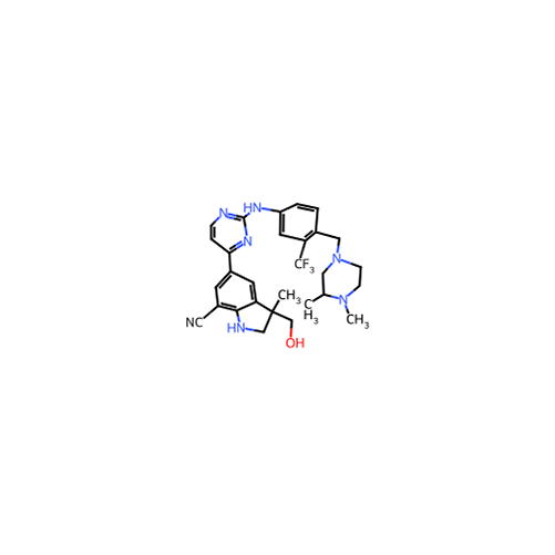 CC1CN(Cc2ccc(Nc3nccc(-c4cc(C#N)c5c(c4)C(C)(CO)CN5)n3)cc2C(F)(F)F)CCN1C